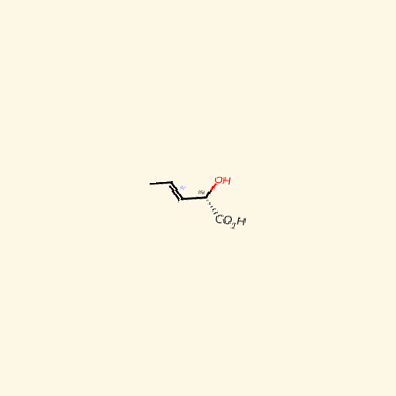 C/C=C/[C@H](O)C(=O)O